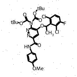 COc1ccc(NC(=O)c2cc(OC(C)c3c(Cl)ccc(F)c3Cl)c(N(C(=O)OC(C)(C)C)C(=O)OC(C)(C)C)nn2)cc1